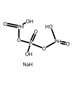 O=[PH](O)OP(=O)(O)O[PH](=O)O.[NaH]